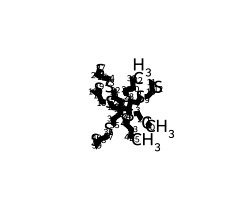 CCCCSC(CCSCC1CS1)C(CSCC1CS1)(C(CCSCC1CS1)SCCCC)C(CCSCC1CS1)SCCCC